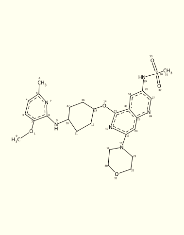 COc1ccc(C)nc1NC1CCC(Oc2nc(N3CCOCC3)cc3ncc(NS(C)(=O)=O)cc23)CC1